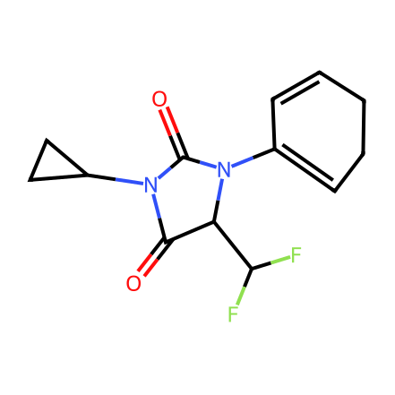 O=C1C(C(F)F)N(C2=CCCC=C2)C(=O)N1C1CC1